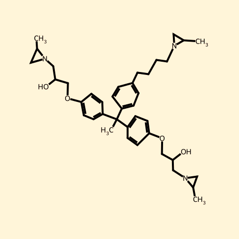 CC1CN1CCCCc1ccc(C(C)(c2ccc(OCC(O)CN3CC3C)cc2)c2ccc(OCC(O)CN3CC3C)cc2)cc1